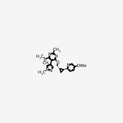 COc1ccc([C@H]2C[C@@H]2COc2nc(C)nc(N(C)C)c2-c2cnn(C)c2)nc1